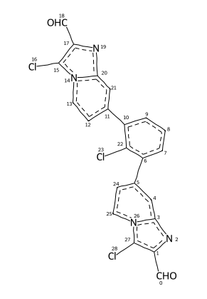 O=Cc1nc2cc(-c3cccc(-c4ccn5c(Cl)c(C=O)nc5c4)c3Cl)ccn2c1Cl